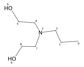 CCCN(CCO)CCO